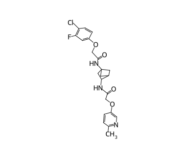 Cc1ccc(OCC(=O)NC2CC3(NC(=O)COc4ccc(Cl)c(F)c4)CC2C3)cn1